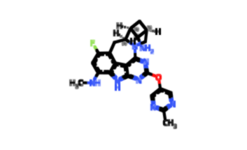 CNc1cc(F)c2c3c1[nH]c1nc(Oc4cnc(C)nc4)nc(c13)N1C[C@@H]3C[C@@H]([C@H]3N)[C@@H]1C2